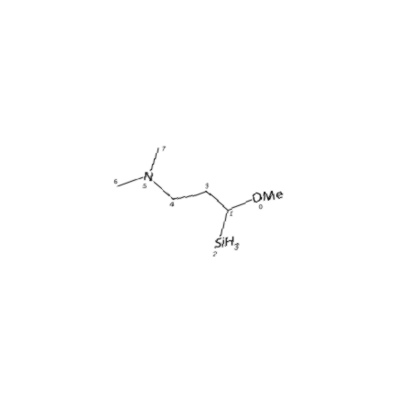 COC([SiH3])CCN(C)C